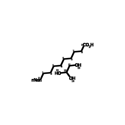 CCCCCCCCCCCCCCCCCC(=O)O.OCC(O)O